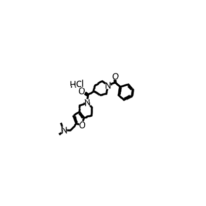 CN(C)Cc1cc2c(o1)CCN(C(=O)C1CCN(C(=O)c3ccccc3)CC1)C2.Cl